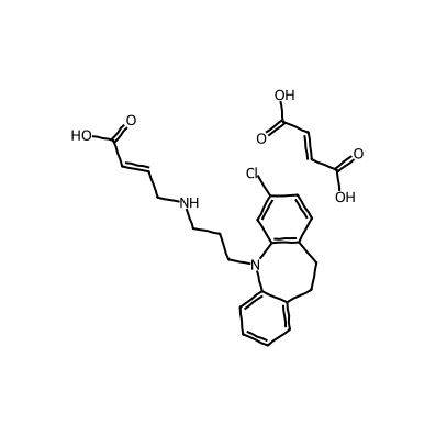 O=C(O)/C=C/C(=O)O.O=C(O)/C=C/CNCCCN1c2ccccc2CCc2ccc(Cl)cc21